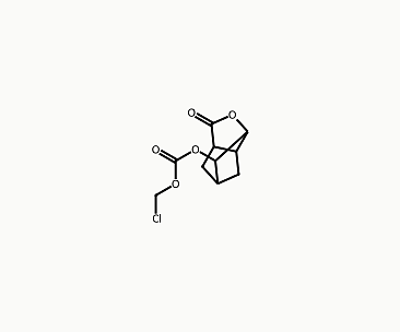 O=C(OCCl)OC1C2CC3C(=O)OC1C3C2